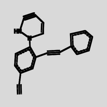 C#Cc1ccc(N2C=CC#CN2)c(C#Cc2ccccc2)c1